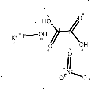 O=C(O)C(=O)O.O=[N+]([O-])[O-].OF.[K+]